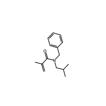 C=C(C)C(=O)N(Cc1ccccc1)CC(C)C